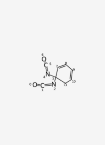 O=C=NC1(N=C=O)C=CC=CC1